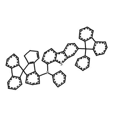 C1=CC2=C(CC1)C1(c3ccccc3-c3ccccc31)c1cccc(N(c3ccccc3)c3cccc4c3sc3cc(C5(c6ccccc6)c6ccccc6-c6ccccc65)ccc34)c12